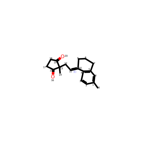 Cc1ccc2c(c1)CCC/C2=C\CC1(C)C(=O)CCC1=O